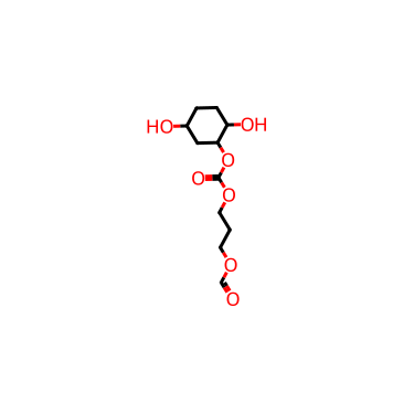 O=COCCCOC(=O)OC1CC(O)CCC1O